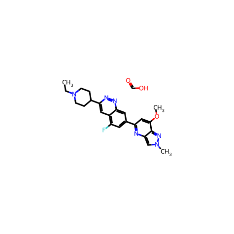 CCN1CCC(c2cc3c(F)cc(-c4cc(OC)c5nn(C)cc5n4)cc3nn2)CC1.O=CO